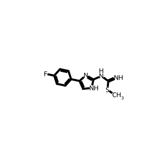 CSC(=N)Nc1nc(-c2ccc(F)cc2)c[nH]1